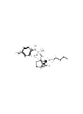 CCCCON=C1CC2CCC1(CS(=O)(=O)Nc1ccc(Cl)cc1)C2(C)C